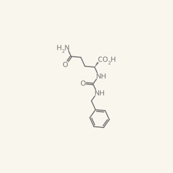 NC(=O)CC[C@H](NC(=O)NCc1ccccc1)C(=O)O